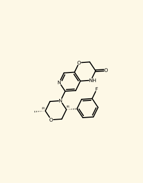 C[C@@H]1CN(c2cc3c(cn2)OCC(=O)N3)[C@H](c2cccc(F)c2)CO1